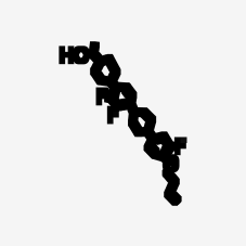 C=CCCOc1ccc(C2CCC(c3ccc(C4CCC(C(C)O)CC4)c(F)c3F)CC2)cc1F